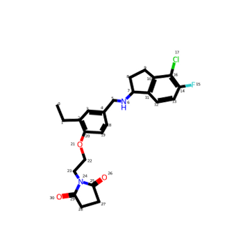 CCc1cc(CNC2CCc3c2ccc(F)c3Cl)ccc1OCCN1C(=O)CCC1=O